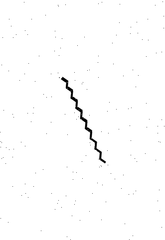 [CH]=CC=CC=CC=CC=CC=CCCCCCC